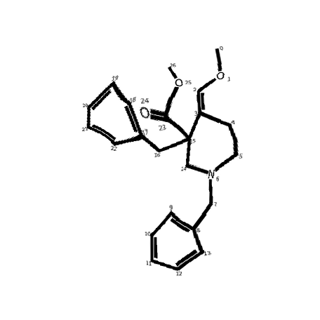 COC=C1CCN(Cc2ccccc2)CC1(Cc1ccccc1)C(=O)OC